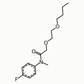 CCCCOCCOCC(=O)N(C)c1ccc(F)cc1